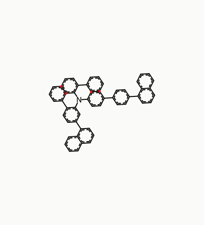 c1ccc(-c2ccccc2N(c2ccc(-c3ccc(-c4cccc5ccccc45)cc3)cc2)c2cc(-c3cccc4ccccc34)ccc2-c2ccccc2)cc1